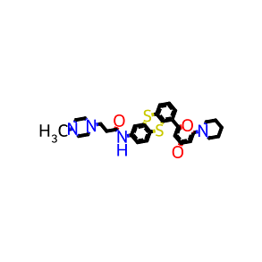 CN1CCN(CCC(=O)Nc2ccc3c(c2)Sc2cccc(-c4cc(=O)cc(N5CCCCC5)o4)c2S3)CC1